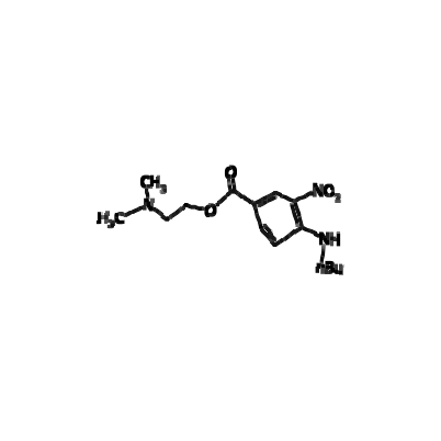 CCCCNc1ccc(C(=O)OCCN(C)C)cc1[N+](=O)[O-]